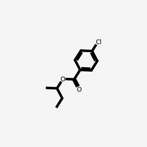 CCC(C)OC(=O)c1ccc(Cl)cc1